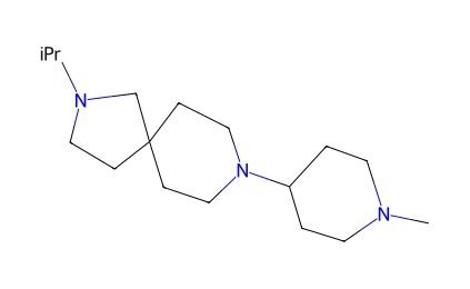 CC(C)N1CCC2(CCN(C3CCN(C)CC3)CC2)C1